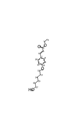 CCOC(=O)/C=C/c1ccc(OCCCCCCO)cc1